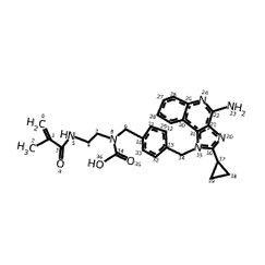 C=C(C)C(=O)NCCN(Cc1ccc(Cn2c(C3CC3)nc3c(N)nc4ccccc4c32)cc1)C(=O)O